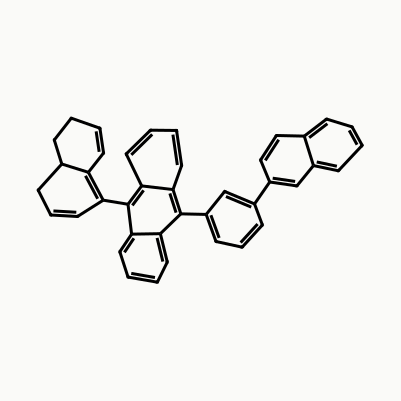 C1=CC2=C(c3c4ccccc4c(-c4cccc(-c5ccc6ccccc6c5)c4)c4ccccc34)C=CCC2CC1